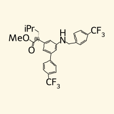 COC(=O)[C@H](CC(C)C)c1cc(NCc2ccc(C(F)(F)F)cc2)cc(-c2ccc(C(F)(F)F)cc2)c1